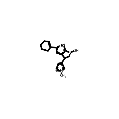 Cn1cc(C2CN(S)c3ncc(C4=CCCCC4)cc32)cn1